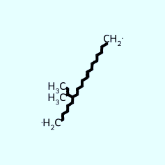 [CH2]CCCCCCCC=CCCCCC(CCCCC[CH2])C(C)CC